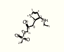 CCNc1ccsc1CC(=O)COS(C)(=O)=O